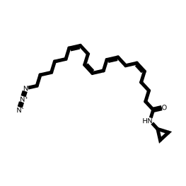 [N-]=[N+]=NCCCCC/C=C\C/C=C\C/C=C\C/C=C\CCCC(=O)NC1CC1